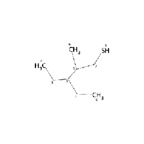 CCC(CC)C(C)CS